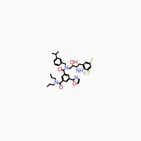 CCCN(CCC)C(=O)c1cc(C(=O)N(Cc2cccc(C(C)C)c2)C[C@@H](O)[C@@H](N)Cc2cc(F)cc(F)c2)cc(-c2ncco2)c1